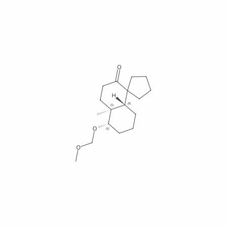 COCO[C@H]1CCC[C@H]2C3(CCCC3)C(=O)CC[C@]12C